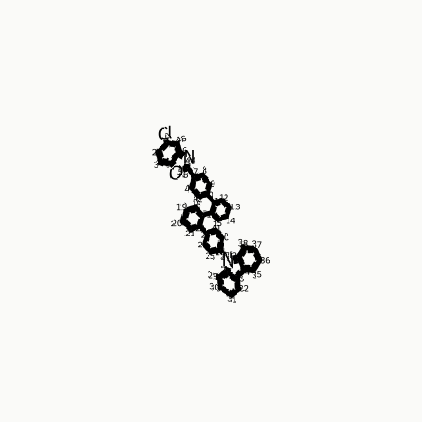 Clc1ccc2oc(-c3ccc(-c4ccccc4-c4ccccc4-c4ccc(-n5c6ccccc6c6ccccc65)cc4)cc3)nc2c1